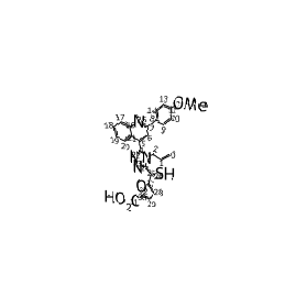 C=CCn1c(-c2cc(-c3ccc(OC)cc3)nc3ccccc23)nnc1C(S)c1ccc(C(=O)O)o1